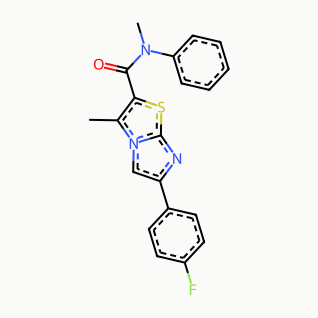 Cc1c(C(=O)N(C)c2ccccc2)sc2nc(-c3ccc(F)cc3)cn12